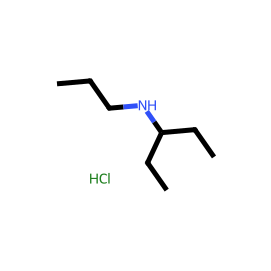 CCCNC(CC)CC.Cl